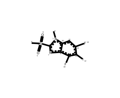 Cn1c(S(C)(=O)=O)nc2c(F)c(I)c(F)cc21